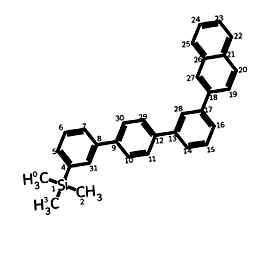 C[Si](C)(C)c1cccc(-c2ccc(-c3cccc(-c4ccc5ccccc5c4)c3)cc2)c1